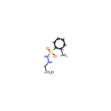 CCOC(=O)CNNS(=O)(=O)c1ccccc1[N+](=O)[O-]